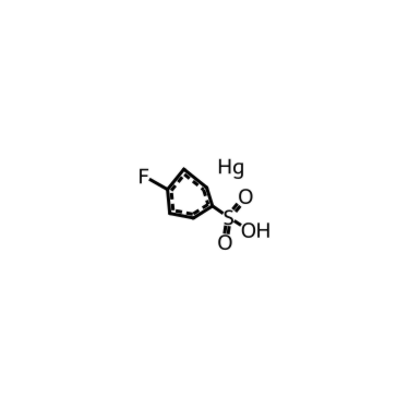 O=S(=O)(O)c1ccc(F)cc1.[Hg]